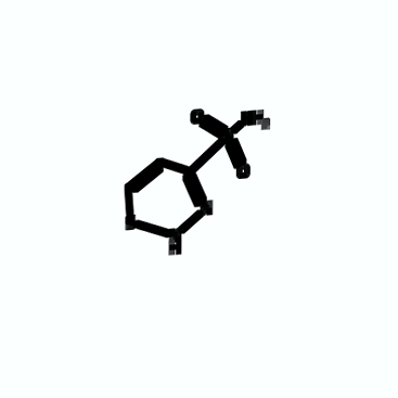 NS(=O)(=O)C1=NNSC=C1